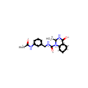 CNC(=O)Nc1cccc(CNC(=O)N2c3ccccc3C(=O)NC2C(=O)O)c1